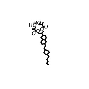 C=C(CO)C(=O)OCC(COC(=O)C(C)CO)C1CCC2CC(CCC3CCC(CCCCC)CC3)CCC2C1